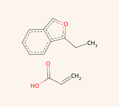 C=CC(=O)O.CCc1occ2ccccc12